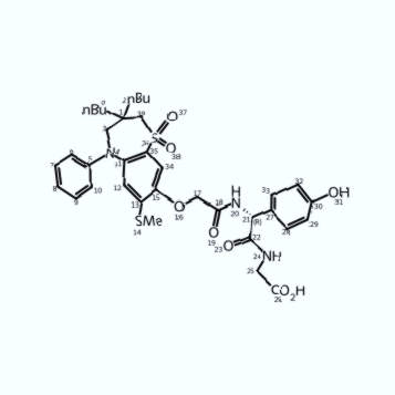 CCCCC1(CCCC)CN(c2ccccc2)c2cc(SC)c(OCC(=O)N[C@@H](C(=O)NCC(=O)O)c3ccc(O)cc3)cc2S(=O)(=O)C1